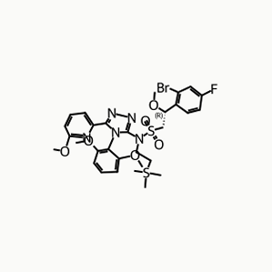 COc1cccc(-c2nnc(N(CCS(C)(C)C)S(=O)(=O)C[C@H](OC)c3ccc(F)cc3Br)n2-c2c(OC)cccc2OC)n1